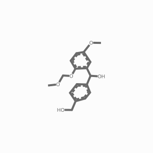 COCOc1ccc(OC)cc1C(O)c1ccc(CO)cc1